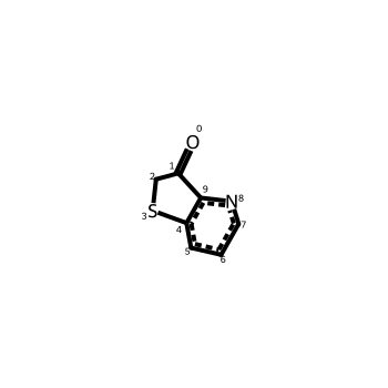 O=C1CSc2cccnc21